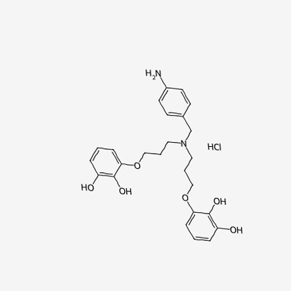 Cl.Nc1ccc(CN(CCCOc2cccc(O)c2O)CCCOc2cccc(O)c2O)cc1